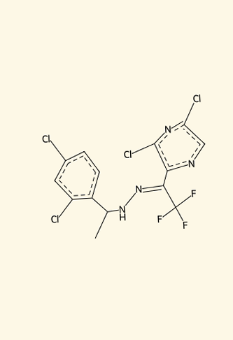 CC(N/N=C(/c1ncc(Cl)nc1Cl)C(F)(F)F)c1ccc(Cl)cc1Cl